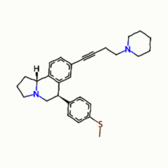 CSc1ccc([C@H]2CN3CCC[C@@H]3c3ccc(C#CCCN4CCCCC4)cc32)cc1